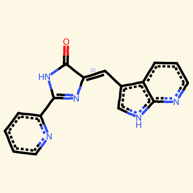 O=C1NC(c2ccccn2)=N/C1=C\c1c[nH]c2ncccc12